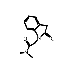 CN(C)C(=O)CN1C(=O)Cc2ccccc21